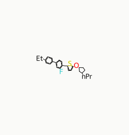 CCCC1CCC(Oc2ccc(-c3ccc(-c4ccc(CC)cc4)cc3F)s2)C1